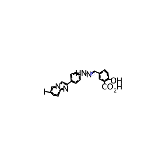 O=C(O)c1cc(/C=N/Nc2ccc(-c3cn4cc(I)ccc4n3)cc2)ccc1O